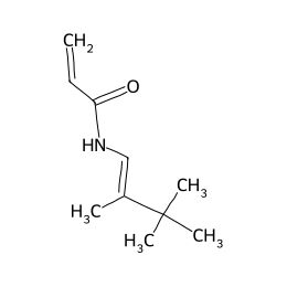 C=CC(=O)N/C=C(\C)C(C)(C)C